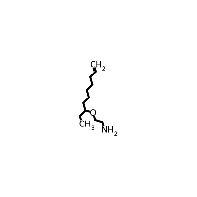 C=CCCCCCC(CC)OCCN